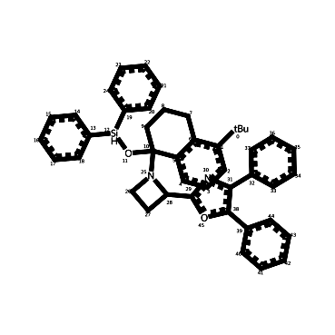 CC(C)(C)c1cccc2c1CCCC2(O[SiH](c1ccccc1)c1ccccc1)N1CCC1c1nc(-c2ccccc2)c(-c2ccccc2)o1